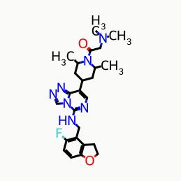 CC1CC(c2cnc(NCc3c(F)ccc4c3CCO4)n3cnnc23)CC(C)N1C(=O)CN(C)C